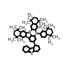 CC1(C)CCC(C)(C)c2cc(N3c4cc5c(cc4B4c6cc7c(cc6-c6cc(-c8cccc9sc%10ccccc%10c89)cc3c64)C(C)(C)CCC7(C)C)C(C)(C)CCC5(C)C)ccc21